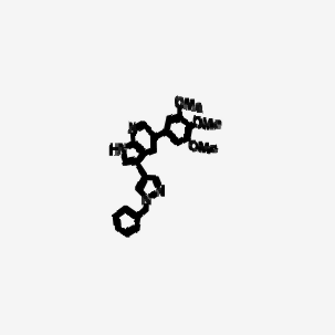 COc1cc(-c2cnc3[nH]cc(-c4cnn(Cc5ccccc5)c4)c3c2)cc(OC)c1OC